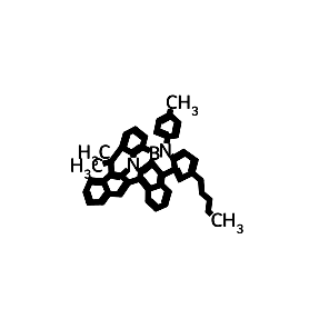 CCCCCc1ccc2c(c1)-c1c3c4c(c5ccccc15)c1cc5ccccc5c5c1n4-c1c(cccc1C5(C)C)B3N2c1ccc(C)cc1